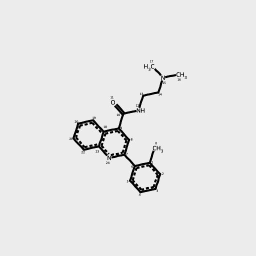 Cc1ccccc1-c1cc(C(=O)NCCN(C)C)c2ccccc2n1